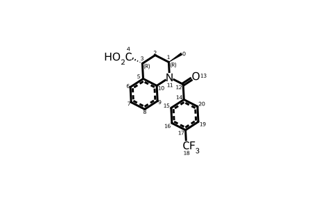 C[C@@H]1C[C@@H](C(=O)O)c2ccccc2N1C(=O)c1ccc(C(F)(F)F)cc1